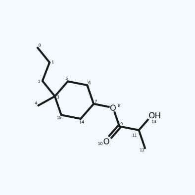 CCCC1(C)CCC(OC(=O)C(C)O)CC1